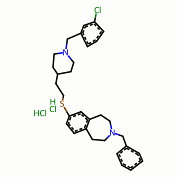 Cl.Cl.Clc1cccc(CN2CCC(CCSc3ccc4c(c3)CCN(Cc3ccccc3)CC4)CC2)c1